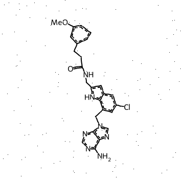 COc1cccc(CCC(=O)NCc2cc3cc(Cl)cc(Cn4cnc5c(N)ncnc54)c3[nH]2)c1